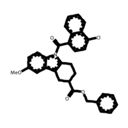 COc1ccc2c(c1)c1c(n2C(=O)c2ccc(Cl)c3ccccc23)CCC(C(=O)OCc2ccccc2)C1